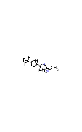 C=C(/C=C\C(O)=C/C)c1ccc(C(F)(F)F)cn1